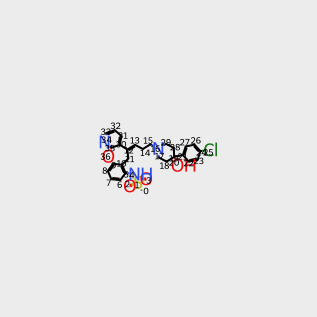 CS(=O)(=O)Nc1cccc2c1CC(=CCCN1CCC(O)(c3ccc(Cl)cc3)CC1)c1cccnc1O2